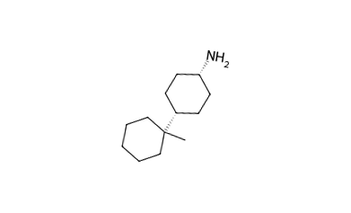 CC1([C@H]2CC[C@@H](N)CC2)CCCCC1